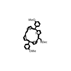 CCCCCCCCCCCc1c2nc(c(-c3cccc(OC)c3)c3ccc(cc4nc(c(-c5cccc(OC)c5)c5ccc1[nH]5)C=C4)[nH]3)C=C2